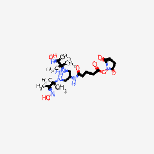 C/C(=N\O)C(C)(C)NCC(CNC(C)(C)/C(C)=N/O)NC(=O)CCCC(=O)ON1C(=O)CCC1=O